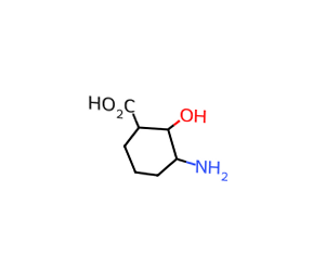 NC1CCCC(C(=O)O)C1O